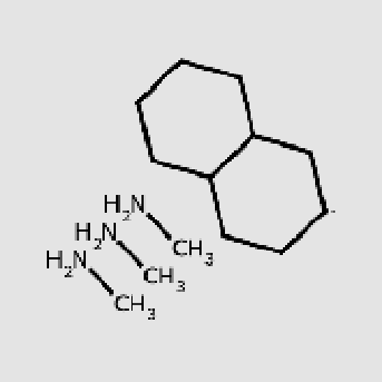 CN.CN.CN.[CH]1CCC2CCCCC2C1